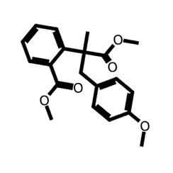 COC(=O)c1ccccc1C(C)(Cc1ccc(OC)cc1)C(=O)OC